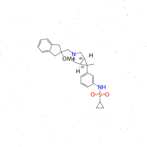 COC1(CN2C[C@@H]3[C@H](C2)C3(C)c2cccc(NS(=O)(=O)C3CC3)c2)Cc2ccccc2C1